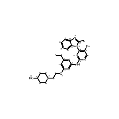 CCc1cc(Nc2ncc(F)c(-n3c(C)nc4ccccc43)n2)cc(OCCN2CCC(O)CC2)c1